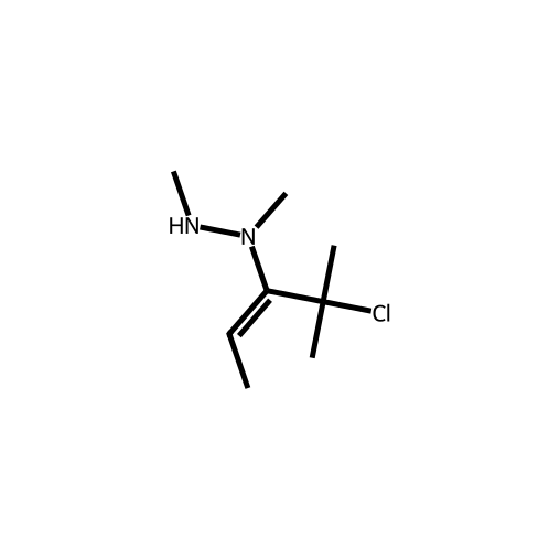 C/C=C(/N(C)NC)C(C)(C)Cl